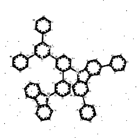 c1ccc(-c2ccc3c(c2)c2cc(-c4ccccc4)ccc2n3-c2ccc(-c3nc(-c4ccccc4)cc(-c4ccccc4)n3)cc2-c2cccc(-n3c4ccccc4c4ccccc43)c2)cc1